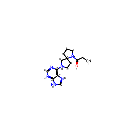 N#CCC(=O)N1CCCC12CCN(c1ncnc3[nH]cnc13)C2